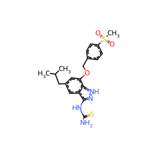 CC(C)Cc1cc(OCc2ccc(S(C)(=O)=O)cc2)c2[nH]nc(NC(N)=S)c2c1